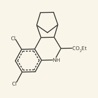 CCOC(=O)C1Nc2cc(Cl)cc(Cl)c2C2C3CCC(C3)C12